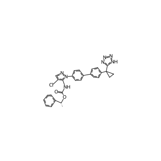 C[C@@H](OC(=O)Nc1c(Cl)cnn1-c1ccc(-c2ccc(C3(c4nnn[nH]4)CC3)cc2)cc1)c1ccccc1